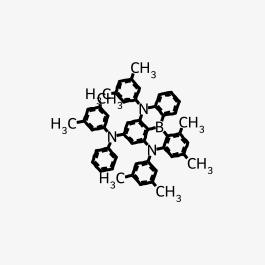 Cc1cc(C)cc(N(c2ccccc2)c2cc3c4c(c2)N(c2cc(C)cc(C)c2)c2cc(C)cc(C)c2B4c2ccccc2N3c2cc(C)cc(C)c2)c1